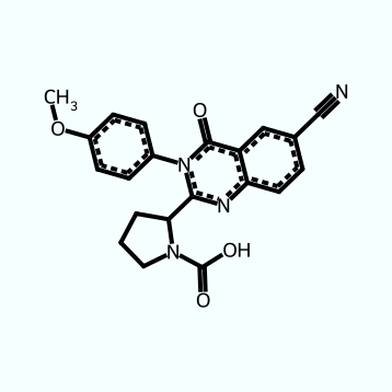 COc1ccc(-n2c(C3CCCN3C(=O)O)nc3ccc(C#N)cc3c2=O)cc1